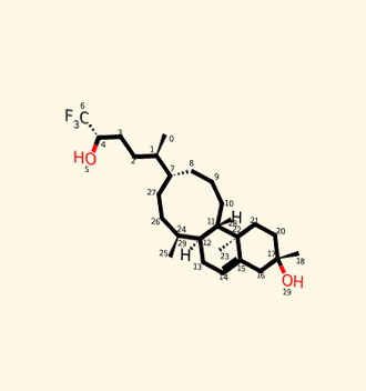 C[C@H](CC[C@H](O)C(F)(F)F)[C@@H]1CCC[C@H]2[C@@H](CC=C3C[C@@](C)(O)CC[C@@]32C)[C@@H](C)CC1